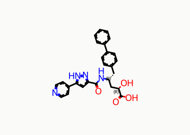 O=C(N[C@H](Cc1ccc(-c2ccccc2)cc1)C[C@@H](O)C(=O)O)c1cc(-c2ccncc2)[nH]n1